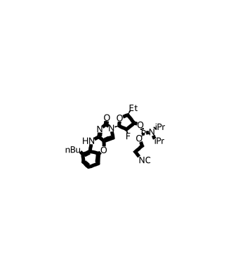 [C-]#[N+]CCOP(OC1[C@@H](CC)O[C@@H](n2cc3c(nc2=O)Nc2c(CCCC)cccc2O3)[C@H]1F)N(C(C)C)C(C)C